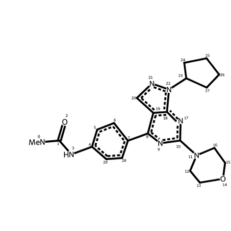 CNC(=O)Nc1ccc(-c2nc(N3CCOCC3)nc3c2cnn3C2CCCC2)cc1